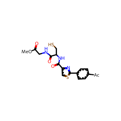 COC(=O)CNC(=O)C(CS)NC(=O)c1csc(-c2ccc(C(C)=O)cc2)n1